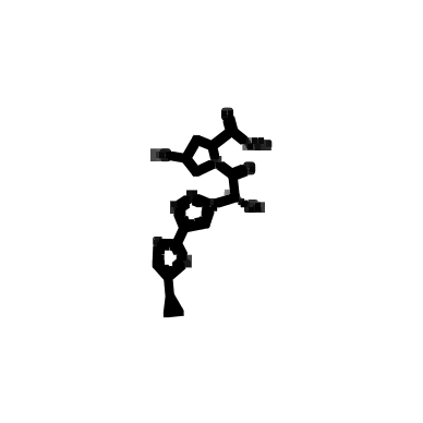 CNC(=O)C1CC(O)CN1C(=O)[C@@H](n1cc(-c2nc(C3CC3)cs2)nn1)C(C)(C)C